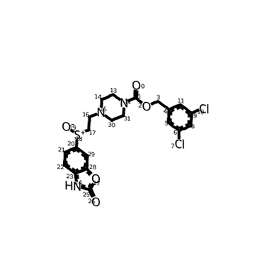 O=C(OCc1cc(Cl)cc(Cl)c1)N1CCN(CC[S+]([O-])c2ccc3[nH]c(=O)oc3c2)CC1